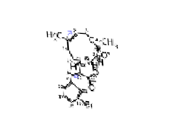 C/C1=C/CC[C@@]2(C)O[C@H]2[C@H]2OC(=O)/C(=C\c3cccc(Br)c3)[C@@H]2CC1